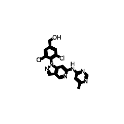 Cc1cc(Nc2cc3c(cn2)cnn3-c2c(Cl)cc(CO)cc2Cl)ncn1